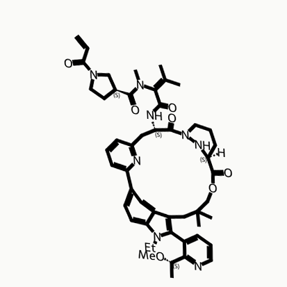 C=CC(=O)N1CC[C@H](C(=O)N(C)C(C(=O)N[C@H]2Cc3cccc(n3)-c3ccc4c(c3)c(c(-c3cccnc3[C@H](C)OC)n4CC)CC(C)(C)COC(=O)[C@@H]3CCCN(N3)C2=O)=C(C)C)C1